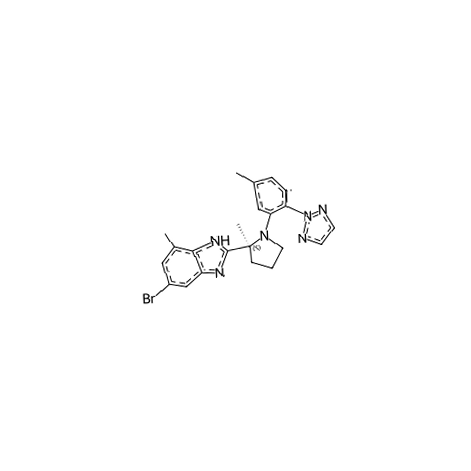 Cc1c[c]c(-n2nccn2)c(N2CCC[C@@]2(C)c2nc3cc(Br)cc(C)c3[nH]2)c1